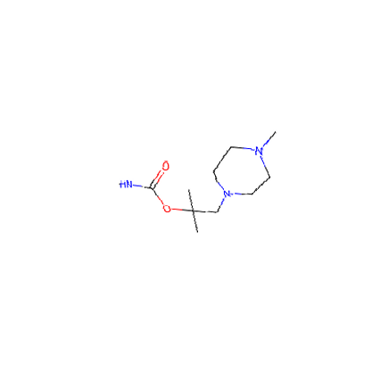 CN1CCN(CC(C)(C)OC([NH])=O)CC1